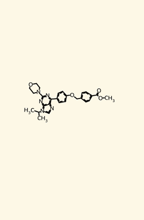 COC(=O)c1ccc(COc2ccc(-c3nc(N4CCOCC4)nc4c3ncn4C(C)C)cc2)cc1